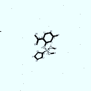 CO[Si](OC)(OC1CC(C)CCC1C(C)C)C1CCCC1